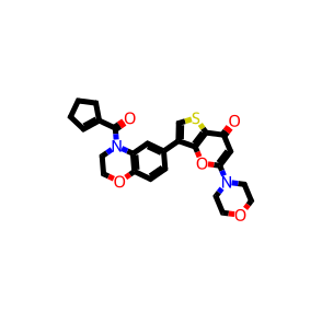 O=C(C1=CCCC1)N1CCOc2ccc(-c3csc4c(=O)cc(N5CCOCC5)oc34)cc21